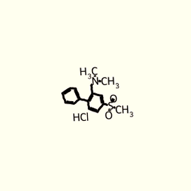 CN(C)Cc1cc(S(C)(=O)=O)ccc1-c1ccccc1.Cl